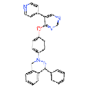 c1ccc(C2=NN(c3ccc(Oc4ncncc4-c4ccncc4)cc3)Cc3ccccc32)cc1